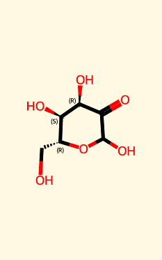 O=C1C(O)O[C@H](CO)[C@@H](O)[C@H]1O